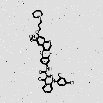 COc1cc2c(Oc3ccc(NC(=O)c4nn(-c5ccc(Cl)cc5Cl)c5ccccc5c4=O)cc3F)ccnc2cc1OCCCN1CCCCC1